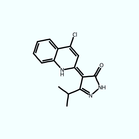 CC(C)C1=NNC(=O)C1=C1C=C(Cl)c2ccccc2N1